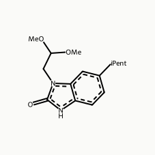 CCCC(C)c1ccc2[nH]c(=O)n(CC(OC)OC)c2c1